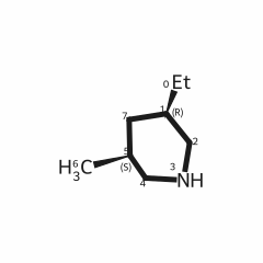 CC[C@H]1CNC[C@@H](C)C1